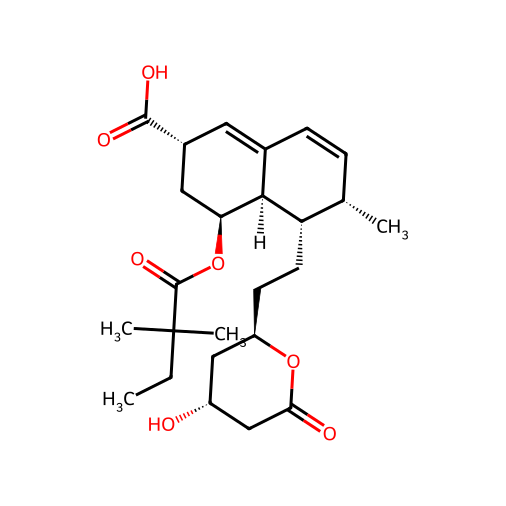 CCC(C)(C)C(=O)O[C@H]1C[C@H](C(=O)O)C=C2C=C[C@H](C)[C@H](CC[C@@H]3C[C@@H](O)CC(=O)O3)[C@H]21